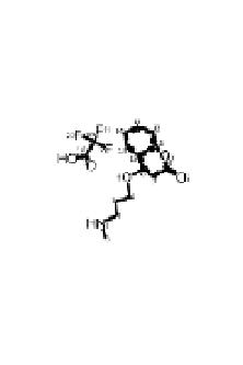 CNCCCOc1cc(=O)oc2ccccc12.O=C(O)C(F)(F)F